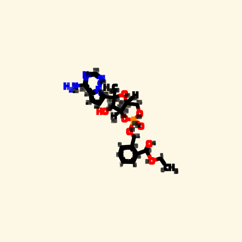 CCOC(=O)c1ccccc1COP1(=O)OC[C@H]2O[C@@](C)(c3ccc4c(N)ncnn34)[C@H](O)[C@@H]2O1